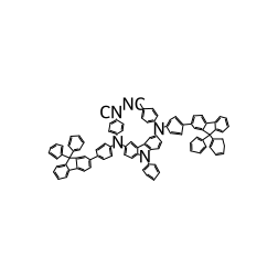 N#Cc1ccc(N(c2ccc(-c3ccc4c(c3)C(C3=CC=CCC3)(c3ccccc3)c3ccccc3-4)cc2)c2ccc3c(c2)c2cc(N(c4ccc(C#N)cc4)c4ccc(-c5ccc6c(c5)C(c5ccccc5)(c5ccccc5)c5ccccc5-6)cc4)ccc2n3-c2ccccc2)cc1